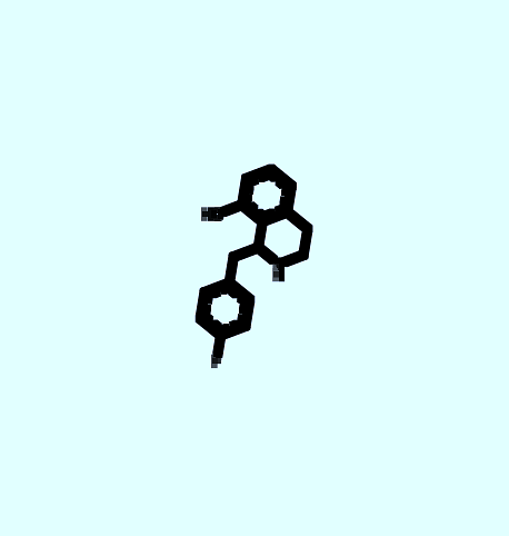 Oc1cccc2c1C(Cc1ccc(F)cc1)NCC2